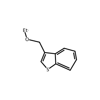 C[CH]OCc1csc2ccccc12